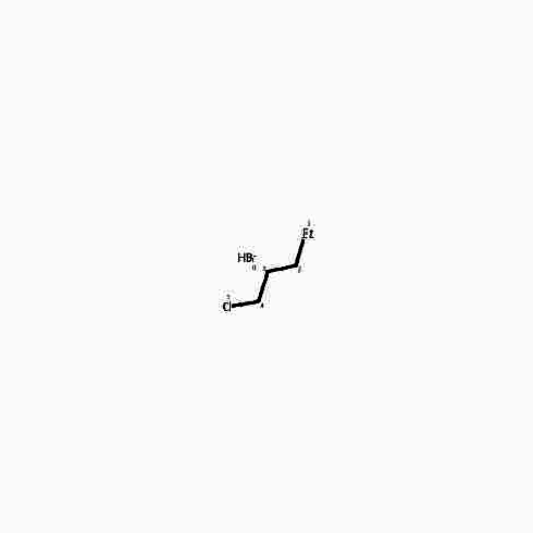 Br.CCCCCCl